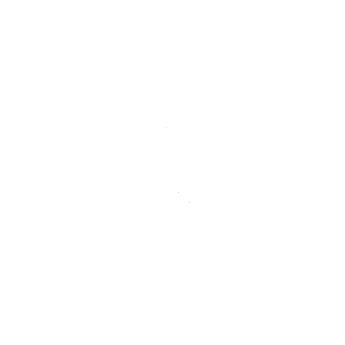 NC(=O)NS(=O)(=O)n1cccn1